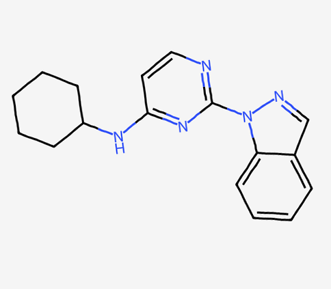 c1ccc2c(c1)cnn2-c1nccc(NC2CCCCC2)n1